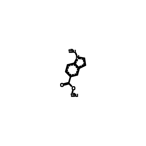 CC(C)(C)OC(=O)c1ccc2c(ccn2C(C)(C)C)c1